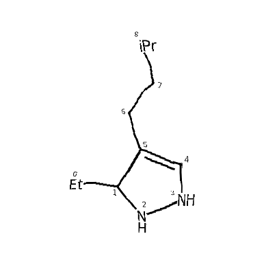 CCC1NNC=C1CCC(C)C